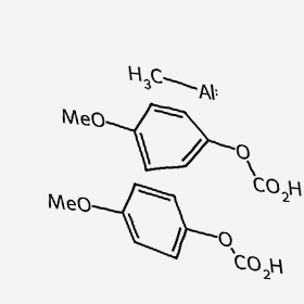 COc1ccc(OC(=O)O)cc1.COc1ccc(OC(=O)O)cc1.[CH3][Al]